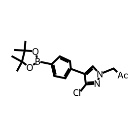 CC(=O)Cn1cc(-c2ccc(B3OC(C)(C)C(C)(C)O3)cc2)c(Cl)n1